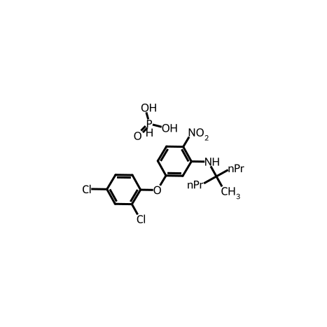 CCCC(C)(CCC)Nc1cc(Oc2ccc(Cl)cc2Cl)ccc1[N+](=O)[O-].O=[PH](O)O